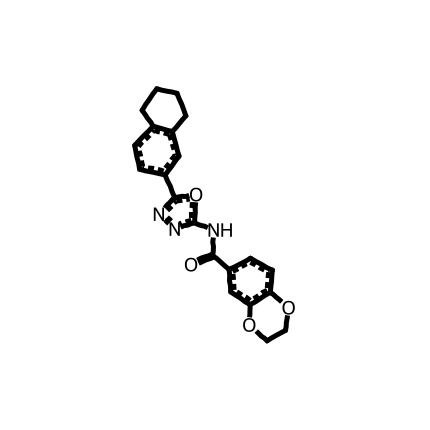 O=C(Nc1nnc(-c2ccc3c(c2)CCCC3)o1)c1ccc2c(c1)OCCO2